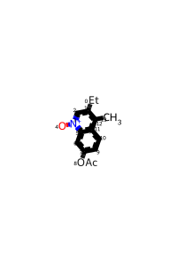 CCc1c[n+]([O-])c2cc(OC(C)=O)ccc2c1C